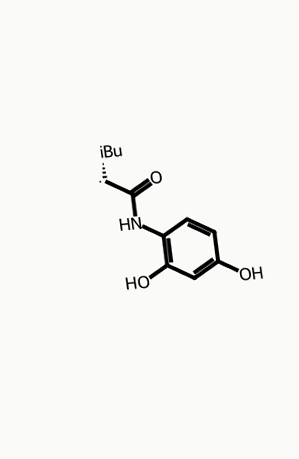 CC[C@@H](C)[CH]C(=O)Nc1ccc(O)cc1O